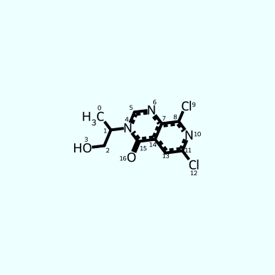 CC(CO)n1cnc2c(Cl)nc(Cl)cc2c1=O